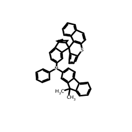 CC1(C)c2ccccc2-c2ccc(N(c3ccccc3)c3ccc4c(c3)C3(c5ccccc5Sc5ccc6ccccc6c53)c3ccccc3-4)cc21